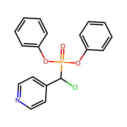 O=P(Oc1ccccc1)(Oc1ccccc1)C(Cl)c1ccncc1